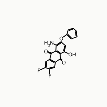 Nc1c(Oc2ccccc2)cc(O)c2c1C(=O)c1cc(F)c(F)cc1C2=O